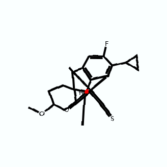 COC1CCC2(CC1)Cc1cc(F)c(C3CC3)cc1C21NC(=S)N(C)C1=O